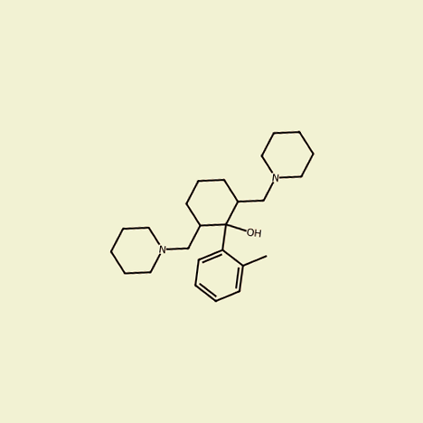 Cc1ccccc1C1(O)C(CN2CCCCC2)CCCC1CN1CCCCC1